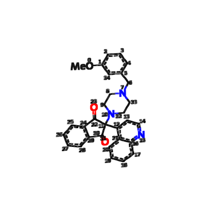 COc1cccc(CN2CCN(C3(c4ccnc5ccccc45)C(=O)c4ccccc4C3=O)CC2)c1